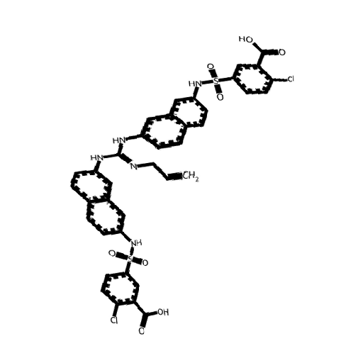 C=CCN=C(Nc1ccc2ccc(NS(=O)(=O)c3ccc(Cl)c(C(=O)O)c3)cc2c1)Nc1ccc2ccc(NS(=O)(=O)c3ccc(Cl)c(C(=O)O)c3)cc2c1